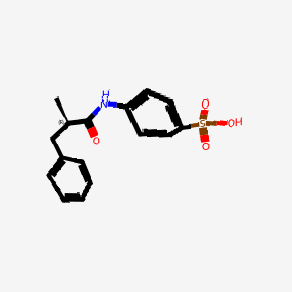 C[C@H](Cc1ccccc1)C(=O)Nc1ccc(S(=O)(=O)O)cc1